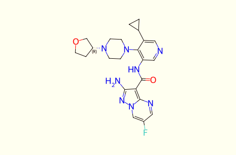 Nc1nn2cc(F)cnc2c1C(=O)Nc1cncc(C2CC2)c1N1CCN([C@@H]2CCOC2)CC1